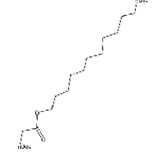 CCCCCCCCCCCCCCCCCCCCCOC(=O)CCCCCCCCCCC